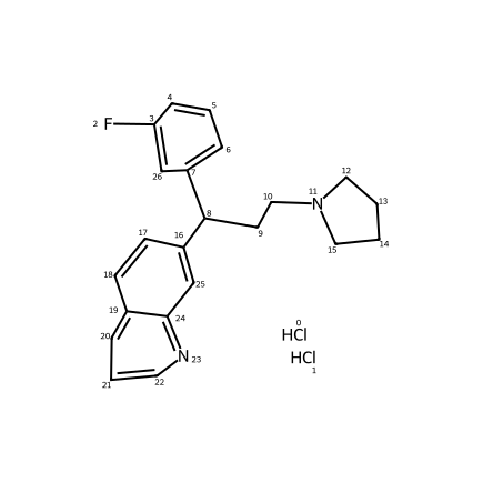 Cl.Cl.Fc1cccc(C(CCN2CCCC2)c2ccc3cccnc3c2)c1